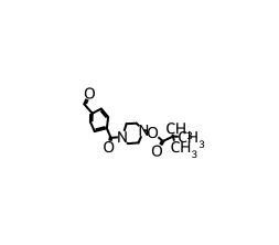 CC(C)(C)C(=O)ON1CCN(C(=O)c2ccc(C=O)cc2)CC1